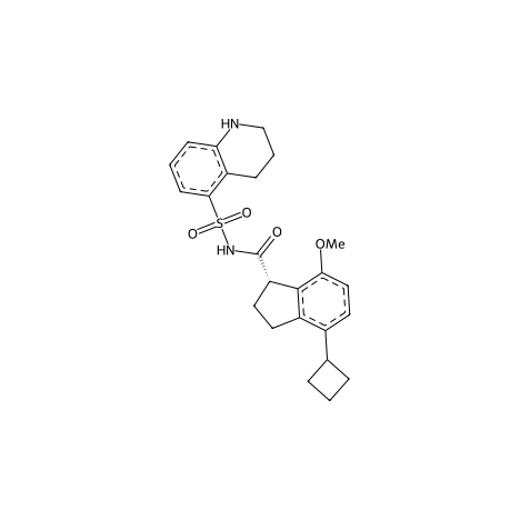 COc1ccc(C2CCC2)c2c1[C@@H](C(=O)NS(=O)(=O)c1cccc3c1CCCN3)CC2